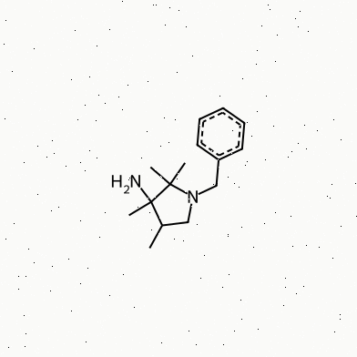 CC1CN(Cc2ccccc2)C(C)(C)C1(C)N